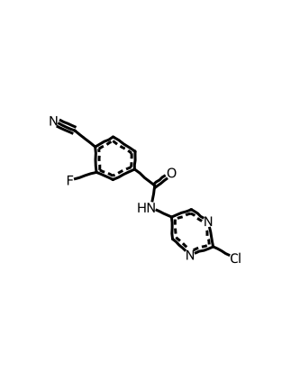 N#Cc1ccc(C(=O)Nc2cnc(Cl)nc2)cc1F